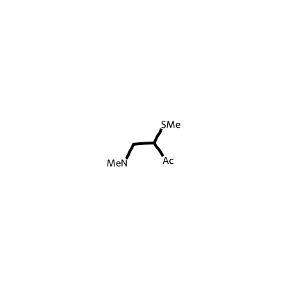 CNCC(SC)C(C)=O